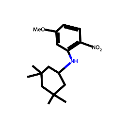 COc1ccc([N+](=O)[O-])c(NC2CC(C)(C)CC(C)(C)C2)c1